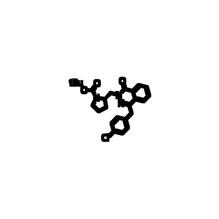 CC(C)(C)OC(=O)N1CCC[C@@H]1Cn1nc(Cc2ccc(Cl)cc2)c2ccccc2c1=O